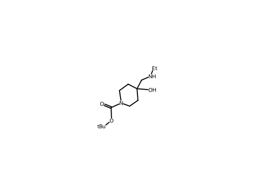 CCNCC1(O)CCN(C(=O)OC(C)(C)C)CC1